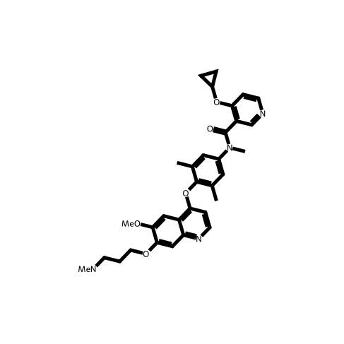 CNCCCOc1cc2nccc(Oc3c(C)cc(N(C)C(=O)c4cnccc4OC4CC4)cc3C)c2cc1OC